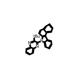 CC(C)(C)c1nc2ccccc2nc1-n1c2ccccc2c2c3ccccc3ccc21